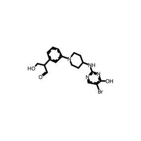 O=CC(CO)c1cccc(N2CCC(Nc3ncc(Br)c(O)n3)CC2)c1